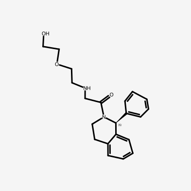 O=C(CNCCOCCO)N1CCc2ccccc2[C@@H]1c1ccccc1